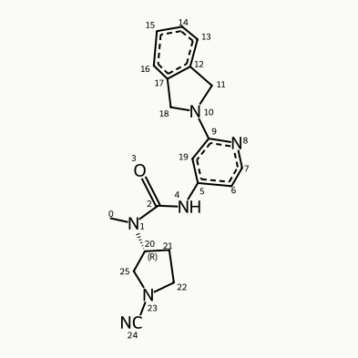 CN(C(=O)Nc1ccnc(N2Cc3ccccc3C2)c1)[C@@H]1CCN(C#N)C1